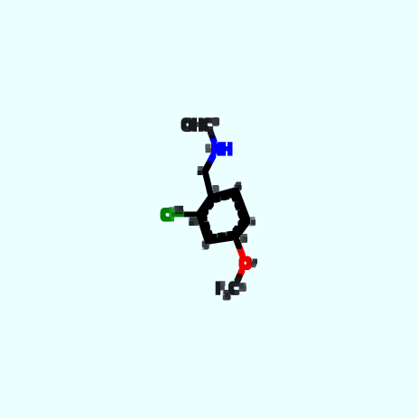 O=CNCc1ccc(OC(F)(F)F)cc1Cl